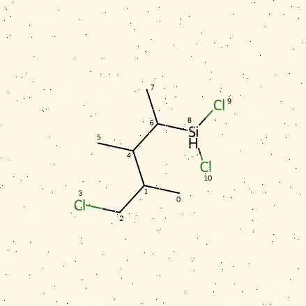 CC(CCl)C(C)C(C)[SiH](Cl)Cl